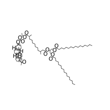 CCCCCCCCCCCCCCCC(=O)OCC(COC(=O)CCCCCCCCCCCCCCC)OC(=O)CC(C)CCCCCCCC(C)C(=O)OC(C)OC(=O)O[C@@H]1CC[C@@]2(C)[C@@H](CC[C@@H]3[C@@H]2CC[C@]2(C)[C@@H](C(C)=O)CC[C@@H]32)C1